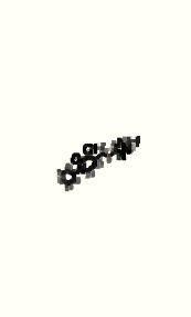 O=c1c(O)c(CCc2c[nH]nn2)ccn1-c1ccccc1